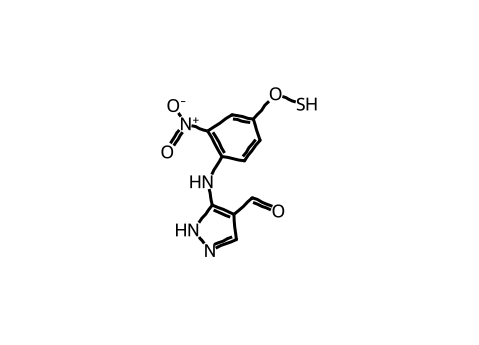 O=Cc1cn[nH]c1Nc1ccc(OS)cc1[N+](=O)[O-]